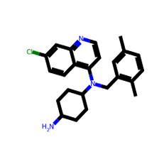 Cc1ccc(C)c(CN(c2ccnc3cc(Cl)ccc23)C2CCC(N)CC2)c1